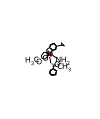 COC1CCC2(CC1)Cc1ccc(C3CC3)cc1C21N=C(N)N(C[C@H](OC)c2ccccc2)C1=O